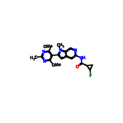 COc1nc(C)nc(OC)c1-c1cc2cc(NC(=O)C3CC3F)ncc2n1C